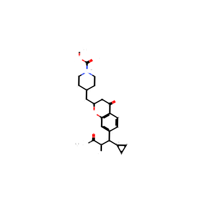 COC(=O)C(C)C(c1ccc2c(c1)OC(CC1CCN(C(=O)OC(C)(C)C)CC1)CC2=O)C1CC1